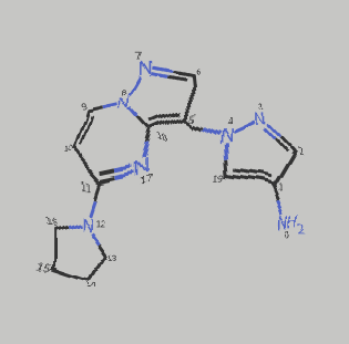 Nc1cnn(-c2cnn3ccc(N4CCCC4)nc23)c1